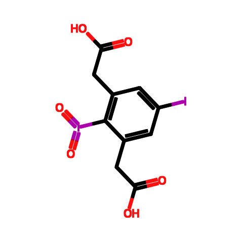 O=C(O)Cc1cc(I)cc(CC(=O)O)c1I(=O)=O